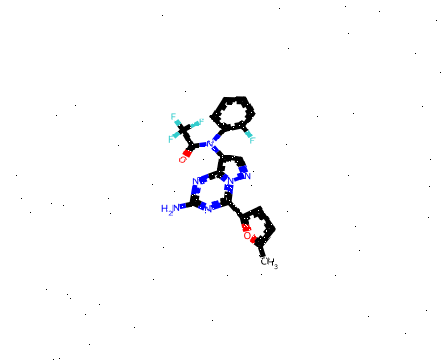 Cc1ccc(-c2nc(N)nc3c(N(C(=O)C(F)(F)F)c4ccccc4F)cnn23)o1